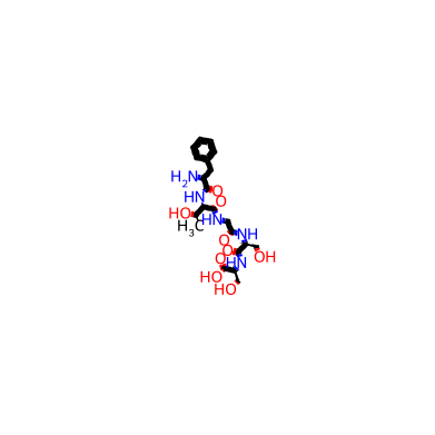 C[C@H](O)[C@H](NC(=O)C(N)Cc1ccccc1)C(=O)NCC(=O)N[C@@H](CO)C(=O)N[C@@H](CO)C(=O)O